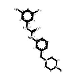 CN1CCN(Cc2cccc(NC(=O)Nc3cc(F)cc(F)c3)c2)CC1